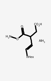 CCCCCCC=CC(CC(=O)O)C(=O)ON.[AlH3]